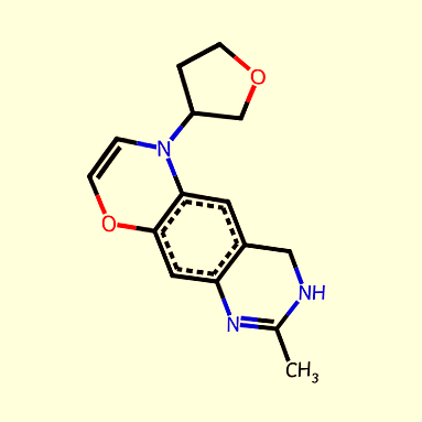 CC1=Nc2cc3c(cc2CN1)N(C1CCOC1)C=CO3